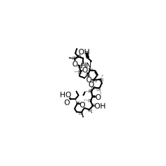 C#CCN[C@H]1C=C[C@]2(O[C@H]([C@@H](CC)C(=O)[C@@H](C)[C@@H](O)[C@H](C)C3O[C@@H](C(CC)C(=O)O)CC[C@@H]3C)[C@@H](C)C[C@H]2C)O[C@@]12CC[C@@](C)([C@H]1CC[C@](O)(CC)[C@H](C)O1)O2